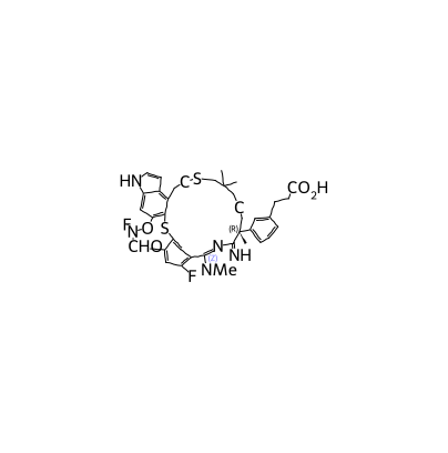 CN/C1=N\C(=N)[C@@](C)(c2cccc(CCC(=O)O)c2)CCCC(C)(C)CSCCc2c(c(ON(F)C=O)cc3[nH]ccc23)Sc2cc1c(F)cc2C